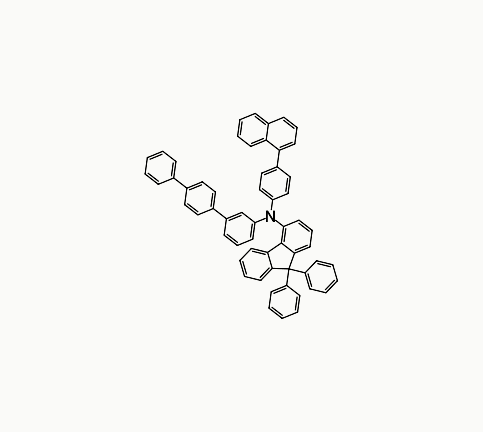 c1ccc(-c2ccc(-c3cccc(N(c4ccc(-c5cccc6ccccc56)cc4)c4cccc5c4-c4ccccc4C5(c4ccccc4)c4ccccc4)c3)cc2)cc1